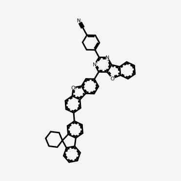 N#CC1=CC=C(c2nc(-c3ccc4c(c3)oc3ccc(-c5ccc6c(c5)C5(CCCCC5)c5ccccc5-6)cc34)c3oc4ccccc4c3n2)CC1